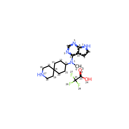 CN(c1ncnc2[nH]ccc12)C1CCC2(CCNCC2)CC1.O=C(O)C(F)(F)F